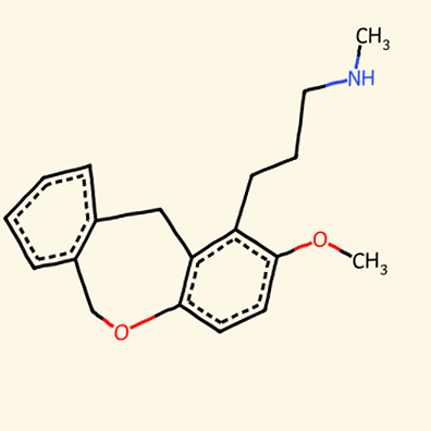 CNCCCc1c(OC)ccc2c1Cc1ccccc1CO2